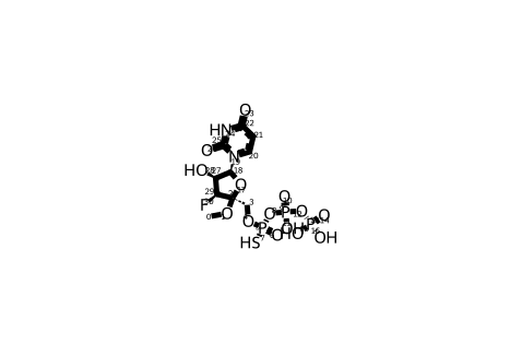 CO[C@]1(COP(=O)(S)OP(=O)(O)OP(=O)(O)O)O[C@@H](n2ccc(=O)[nH]c2=O)[C@H](O)[C@@H]1F